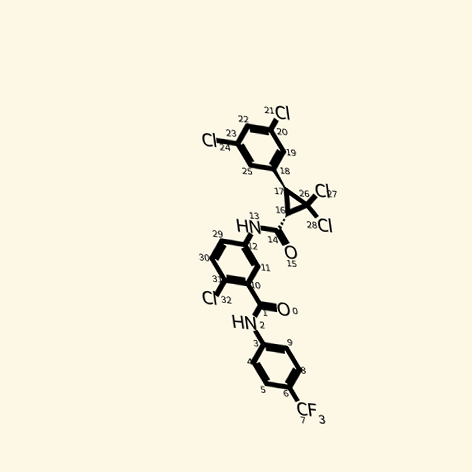 O=C(Nc1ccc(C(F)(F)F)cc1)c1cc(NC(=O)[C@@H]2[C@@H](c3cc(Cl)cc(Cl)c3)C2(Cl)Cl)ccc1Cl